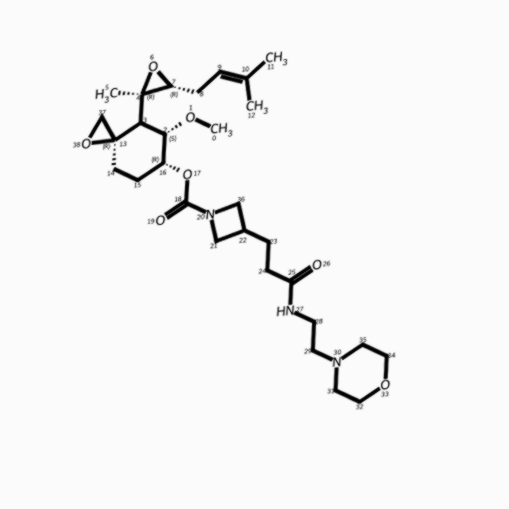 CO[C@H]1C([C@@]2(C)O[C@@H]2CC=C(C)C)[C@]2(CC[C@H]1OC(=O)N1CC(CCC(=O)NCCN3CCOCC3)C1)CO2